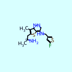 Cc1c(C[C@H](C)N)sc2c(NCc3csc(F)c3)cnnc12